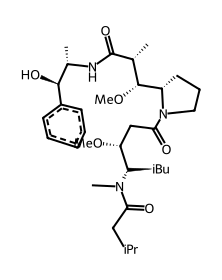 CC[C@H](C)[C@@H]([C@@H](CC(=O)N1CCC[C@H]1[C@H](OC)[C@@H](C)C(=O)N[C@@H](C)[C@H](O)c1ccccc1)OC)N(C)C(=O)CC(C)C